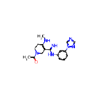 CNC1=C(C(=N)Nc2cccc(-n3cncn3)c2)CN(C(C)=O)CC1